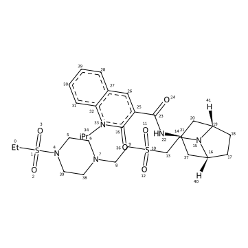 CCS(=O)(=O)N1CCN(CCS(=O)(=O)CCN2[C@@H]3CC[C@H]2C[C@H](NC(=O)c2cc4ccccc4n(C(C)C)c2=O)C3)CC1